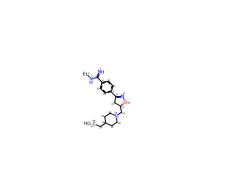 CCNC(=N)c1ccc(C2=NOC(CN3CCC(CC(=O)O)CC3)C2)cc1